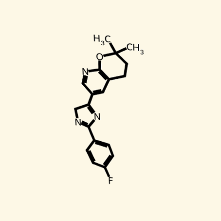 CC1(C)CCc2cc(C3=NC(c4ccc(F)cc4)=NC3)cnc2O1